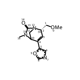 COC[C@@H]1C=C(c2cnco2)C2CN1C(=O)N2C